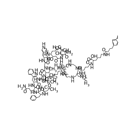 CCNCC1(NC(=O)CCCC(=O)NC(CCCCNC(=O)CCCc2ccc(I)cc2)C(=O)O)CNCCNCC(CN)(NC(=O)CCCC(=O)NC(C)(C)COC(C)(C)CC(=O)NC(Cc2ccccc2)C(=O)NC(CCC(N)=O)C(=O)NC(Cc2c[nH]c3ccccc23)C(=O)NC(C)C(=O)NC(C(=O)NCC(=O)NC(Cc2c[nH]cn2)C(=O)NC(CC(C)C)C(O)CC(=O)NC(CC(C)C)C(N)=O)C(C)C)CNCCNC1